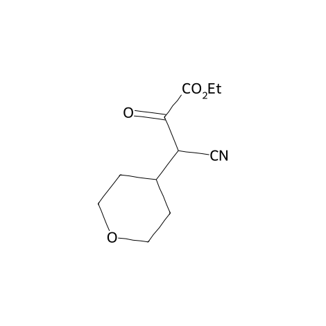 CCOC(=O)C(=O)C(C#N)C1CCOCC1